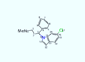 CNCCC(c1ccccc1)n1ccc2ccc(Cl)cc21